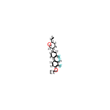 C=CC1CCC(c2ccc(-c3ccc(OCC)c(F)c3F)c(F)c2)CO1